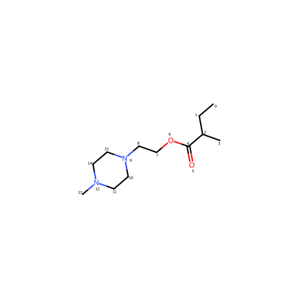 CCC(C)C(=O)OCCN1CCN(C)CC1